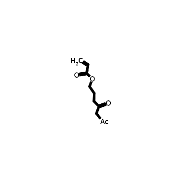 C=CC(=O)OCCCC(=O)CC(C)=O